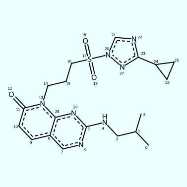 CC(C)CNc1ncc2ccc(=O)n(CCCS(=O)(=O)n3cnc(C4CC4)n3)c2n1